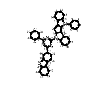 C1=c2c(n(-c3ccccc3)c3ccccc23)=C2c3ccccc3N(c3nc(-c4ccccc4)nc(-c4ccc5c(c4)sc4ccccc45)n3)C12